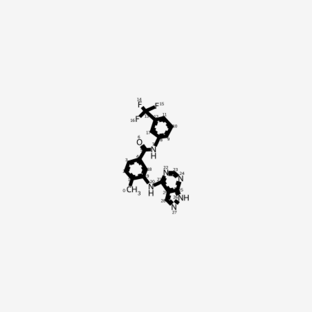 Cc1ccc(C(=O)Nc2cccc(C(F)(F)F)c2)cc1Nc1ncnc2[nH]ncc12